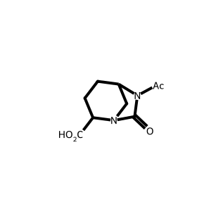 CC(=O)N1C(=O)N2CC1CCC2C(=O)O